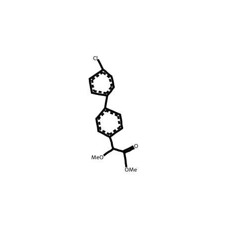 COC(=O)C(OC)c1ccc(-c2ccc(Cl)cc2)cc1